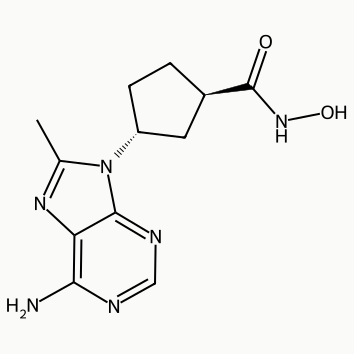 Cc1nc2c(N)ncnc2n1[C@@H]1CC[C@@H](C(=O)NO)C1